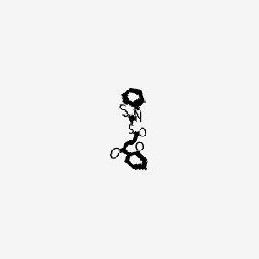 O=C(Sc1nc2ccccc2s1)c1cc(=O)c2ccccc2o1